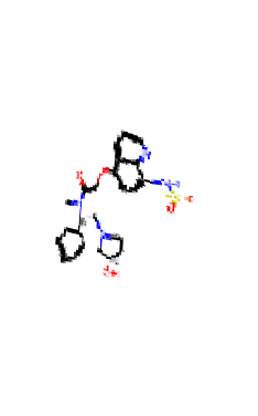 CN(C(=O)COc1ccc(N[SH](=O)=O)c2ncccc12)[C@H](CN1CC[C@H](O)C1)c1ccccc1